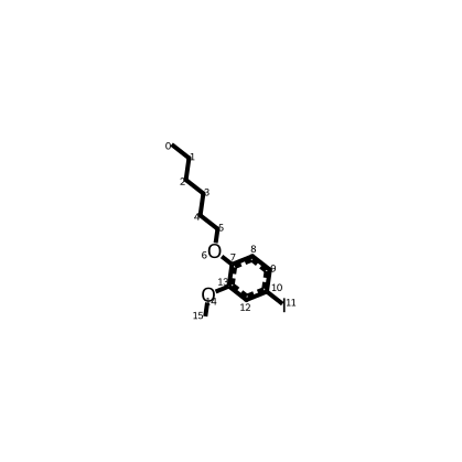 CCCCCCOc1ccc(I)cc1OC